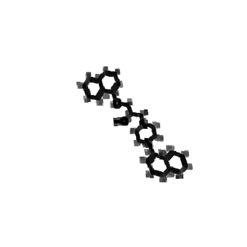 OC(COc1cccc2ccccc12)CN1CCN(c2cccc3ccccc23)CC1